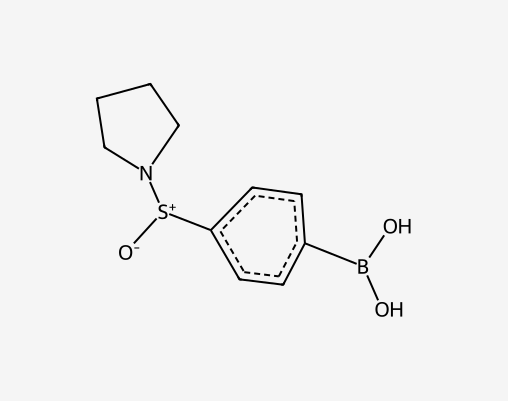 [O-][S+](c1ccc(B(O)O)cc1)N1CCCC1